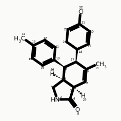 CC1=C[C@H]2C(=O)NC[C@H]2[C@@H](c2ccc(C)cc2)[C@H]1C1C=CC(Cl)=CC1